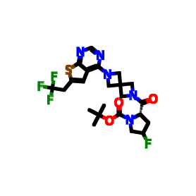 CC(C)(C)OC(=O)N1CC(F)C[C@H]1C(=O)N1CC2(C1)CN(c1ncnc3sc(CC(F)(F)F)cc13)C2